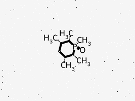 C[C@@H]1C[C@H](C)[C@H](C)P(C)(=O)[C@@H]1C